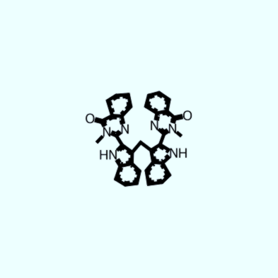 Cn1c(-c2[nH]c3ccccc3c2Cc2c(-c3nc4ccccc4c(=O)n3C)[nH]c3ccccc23)nc2ccccc2c1=O